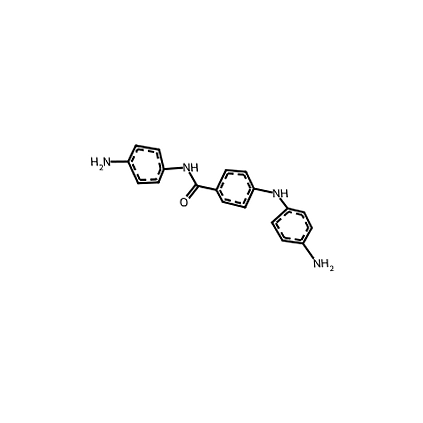 Nc1ccc(NC(=O)c2ccc(Nc3ccc(N)cc3)cc2)cc1